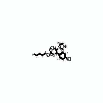 CCCCCOC(=O)SC(c1ccc(Cl)cc1)C(Cl)n1ccnc1